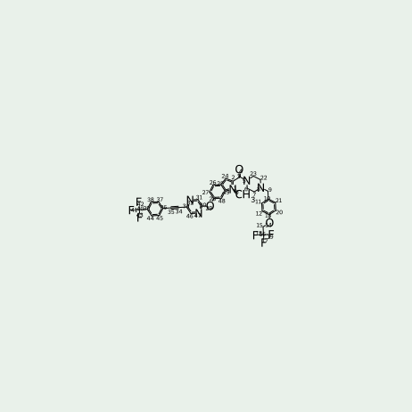 Cn1c(C(=O)N2CCN(Cc3ccc(OCC(F)(F)F)cc3)CC2)cc2ccc(Oc3cnc(C#Cc4ccc(C(F)(F)F)cc4)cn3)cc21